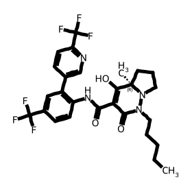 CCCCCN1C(=O)C(C(=O)Nc2ccc(C(F)(F)F)cc2-c2ccc(C(F)(F)F)nc2)=C(O)[C@@]2(C)CCCN12